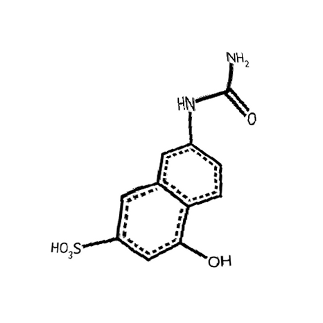 NC(=O)Nc1ccc2c(O)cc(S(=O)(=O)O)cc2c1